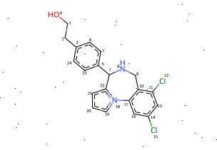 OCCc1ccc(C2NCc3c(Cl)cc(Cl)cc3-n3cccc32)cc1